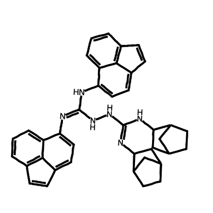 C1=Cc2ccc(N=C(NNC(=NC3CC4CCC3C4)NC3CC4CCC3C4)Nc3ccc4c5c(cccc35)C=C4)c3cccc1c23